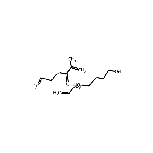 C=CC(=O)O.C=CCOC(=O)C(=C)C.OCCCCO